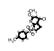 COc1cc(Cl)c2ccn(S(=O)(=O)c3ccc(C)cc3)c2n1